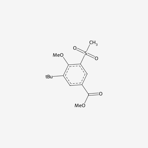 COC(=O)c1cc(C(C)(C)C)c(OC)c(S(C)(=O)=O)c1